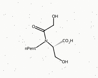 CCCCCN(C(=O)CO)[C@@H](CO)C(=O)O